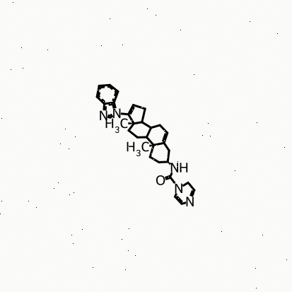 C[C@]12CC[C@H](NC(=O)N3C=CN=CC3)CC1=CCC1C2CC[C@]2(C)C(n3cnc4ccccc43)=CCC12